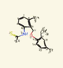 CCC(=S)Nc1cccc(CC)c1COc1ccc(CC)cc1C